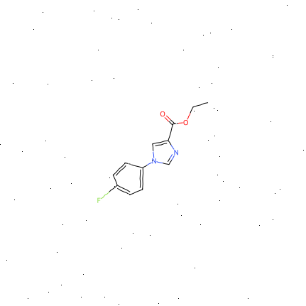 CCOC(=O)c1cn(-c2ccc(F)cc2)cn1